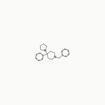 c1ccc(CN2CCC(c3ccccc3)(N3CCCC3)CC2)cc1